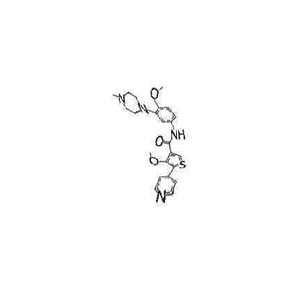 COc1ccc(NC(=O)c2csc(-c3ccncc3)c2OC)cc1N1CCN(C)CC1